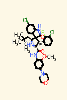 COc1cc(N2CCOCC2)ccc1NC(=O)[C@@H]1N[C@@H](CC(C)(C)C)C2(C(=O)Nc3cc(Cl)ccc32)[C@@H]1c1cccc(Cl)c1F